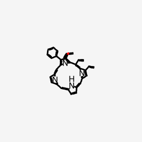 C=CC1=Cc2cc3ccc(cc4nc(cc5c(-c6ccccc6)c(C=C)c(c(C=C)c1n2)n5C=C)C=C4)[nH]3